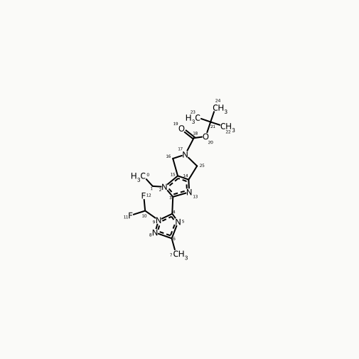 CCn1c(-c2nc(C)nn2C(F)F)nc2c1CN(C(=O)OC(C)(C)C)C2